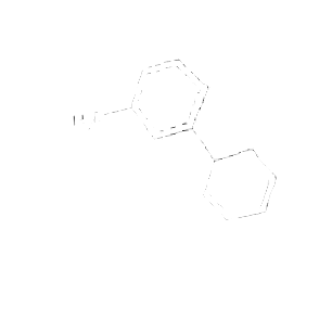 Bc1cccc(C2C=CC=CC2)c1